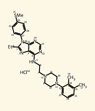 CCc1nc2c(NCCN3CCN(c4cccc(C)c4C)CC3)ncnc2n1-c1ccc(SC)cc1.Cl